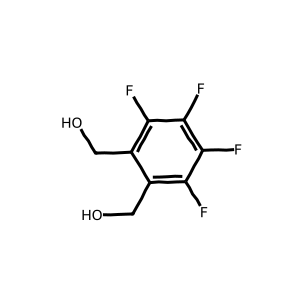 OCc1c(F)c(F)c(F)c(F)c1CO